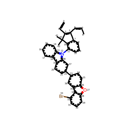 C=CC1=C(/C=C\C)c2cccc(-n3c4ccccc4c4ccc(-c5ccc6oc7cccc(Br)c7c6c5)cc43)c2C1(C)C